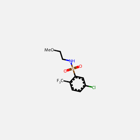 COCCNS(=O)(=O)c1cc(Cl)ccc1C(F)(F)F